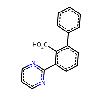 O=C(O)c1c(-c2ccccc2)cccc1-c1ncccn1